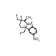 C=C1N[C@](CF)(c2cc([N+](=O)[O-])ccc2F)CCC1(F)CF